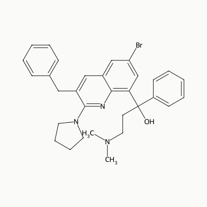 CN(C)CCC(O)(c1ccccc1)c1cc(Br)cc2cc(Cc3ccccc3)c(N3CCCC3)nc12